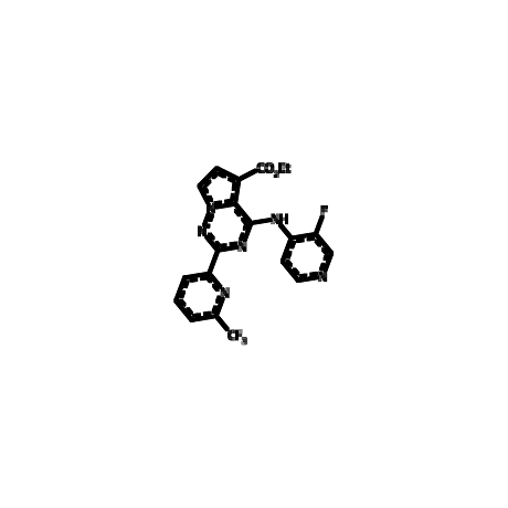 CCOC(=O)c1ccn2nc(-c3cccc(C(F)(F)F)n3)nc(Nc3ccncc3F)c12